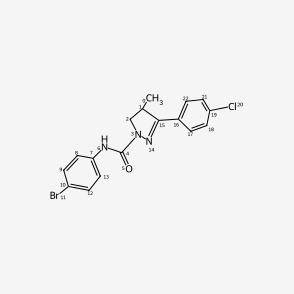 CC1CN(C(=O)Nc2ccc(Br)cc2)N=C1c1ccc(Cl)cc1